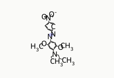 CCCN(CC)c1cc(OC)c(/N=N/c2ccc([N+](=O)[O-])cc2)cc1OC